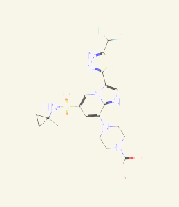 COC(=O)N1CCN(c2cc(S(=O)(=O)NC3(C)CC3)cn3c(-c4nnc(C(F)F)s4)cnc23)CC1